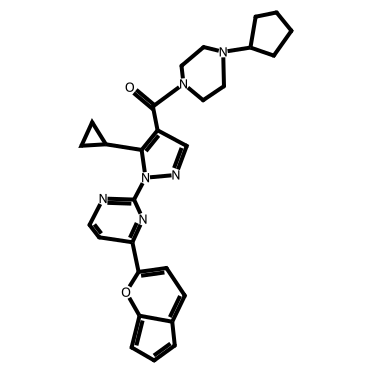 O=C(c1cnn(-c2nccc(-c3ccc4cccc-4o3)n2)c1C1CC1)N1CCN(C2CCCC2)CC1